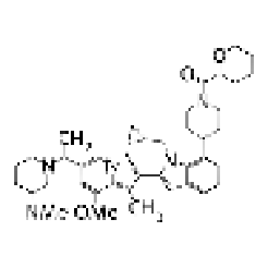 C=C(c1cc(OC)c2c(C)c(-c3cc4cccc(C5CCN(C(=O)C6CCCCO6)CC5)c4n3CC3CC3)nn2c1)N1CCCC(NC)C1